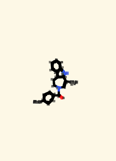 COc1ccc(C(=O)N2C=C(C(=O)O)c3[nH]c4ccccc4c3CC2)cc1